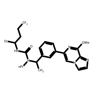 CCCN(C(=O)NC(CC)CCC(F)(F)F)C(C)c1cccc(-c2cn3ccnc3c(OC)n2)c1